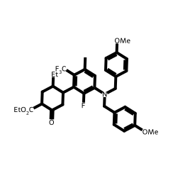 CCOC(=O)C1CC(CC)C(c2c(F)c(N(Cc3ccc(OC)cc3)Cc3ccc(OC)cc3)cc(C)c2C(F)(F)F)CC1=O